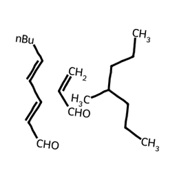 C=CC=O.CCCC(C)CCC.CCCC/C=C/C=C/C=O